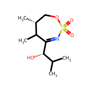 CC1C([C@@H](O)C(C)C)=NS(=O)(=O)OC[C@H]1C